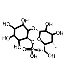 CC(C)P(=O)(O)O[C@H]1C(O)C(O)C(O)[C@@H](O)C1O[C@H]1O[C@H](CO)[C@@H](C)C(O)C1O